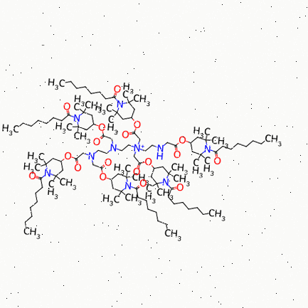 CCCCCCCC(=O)N1C(C)(C)CC(OC(=O)CNCC[N+](CCN(CCN(CC(=O)OC2CC(C)(C)N(C(=O)CCCCCCC)C(C)(C)C2)CC(=O)OC2CC(C)(C)N(C(=O)CCCCCCC)C(C)(C)C2)CC(=O)OC2CC(C)(C)N(C(=O)CCCCCCC)C(C)(C)C2)(CC(=O)OC2CC(C)(C)N(C(=O)CCCCCCC)C(C)(C)C2)CC(=O)OC2CC(C)(C)N(C(=O)CCCCCCC)C(C)(C)C2)CC1(C)C